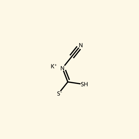 N#CN=C([S-])S.[K+]